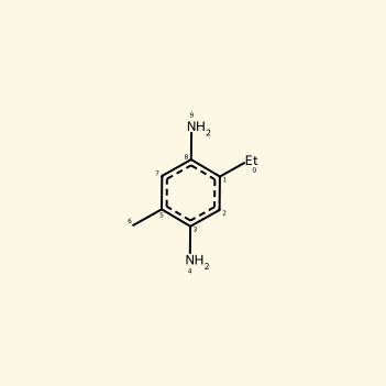 CCc1cc(N)c(C)cc1N